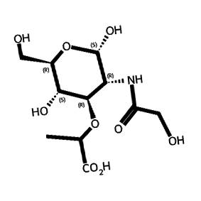 CC(O[C@H]1[C@H](O)[C@@H](CO)O[C@H](O)[C@@H]1NC(=O)CO)C(=O)O